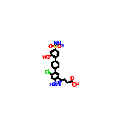 NS(=O)(=O)c1ccc(-c2ccc(-c3cc4c(CCC(=O)O)n[nH]c4cc3Cl)cc2)c(O)c1